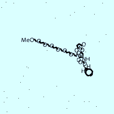 COCCOCCOCCOCCOCCOCCOCCNC(=O)[C@H](CC(=O)ON1C(=O)CCC1=O)NC(=O)OC[C@@H]1[C@@H]2CCC#CCC[C@@H]21